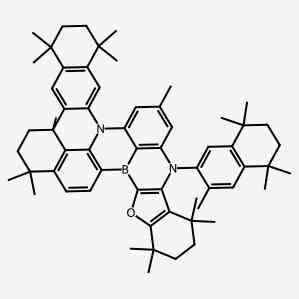 Cc1cc2c3c(c1)N1c4cc5c(cc4C4(C)CCC(C)(C)c6ccc(c1c64)B3c1oc3c(c1N2c1cc2c(cc1C)C(C)(C)CCC2(C)C)C(C)(C)CCC3(C)C)C(C)(C)CCC5(C)C